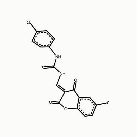 O=C1Oc2ccc(Cl)cc2C(=O)C1=CNC(=S)Nc1ccc(Cl)cc1